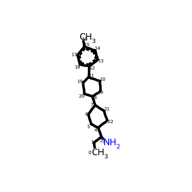 CCC(N)C1CCC(C2CCC(c3ccc(C)cc3)CC2)CC1